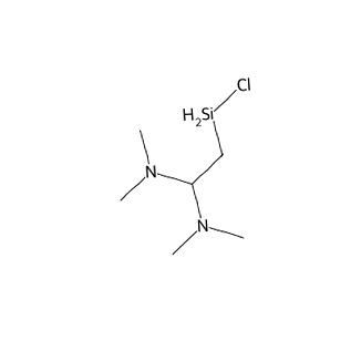 CN(C)C(C[SiH2]Cl)N(C)C